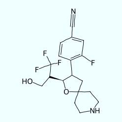 N#Cc1ccc(C2CC3(CCNCC3)O[C@H]2C(CO)C(F)(F)F)c(F)c1